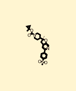 CC1(OC(=O)N2CCC([C@]3(C)Cc4cc(-c5ccc(S(C)(=O)=O)cc5)ncc4O3)CC2)CC1